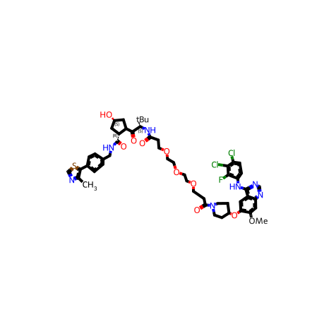 COc1cc2ncnc(Nc3ccc(Cl)c(Cl)c3F)c2cc1OC1CCN(C(=O)CCOCCOCCOCCC(=O)N[C@H](C(=O)C2C[C@H](O)C[C@H]2C(=O)NCc2ccc(-c3scnc3C)cc2)C(C)(C)C)CC1